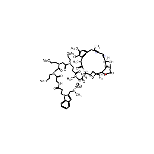 CNN(C)Cc1cc2ccccc2n1CCC(=O)NCC(=O)N(CCOC)CC(=O)N(CCOC)CC(=O)N(CCOC)CCC(=O)N(C)[C@@H](C)C(=O)O[C@H]1CC(=O)N(C)c2cc(cc(OC)c2Cl)C/C(C)=C/C=C/[C@@H](O)[C@@]2(O)C[C@H](OC(=O)N2)C2(C)C[C@@]1(C)O2